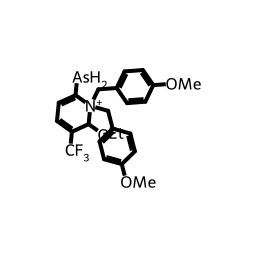 CCOC1C(C(F)(F)F)=CC=C([AsH2])[N+]1(Cc1ccc(OC)cc1)Cc1ccc(OC)cc1